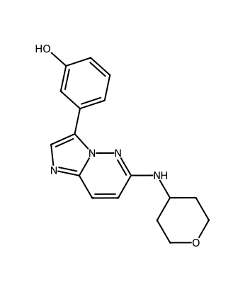 Oc1cccc(-c2cnc3ccc(NC4CCOCC4)nn23)c1